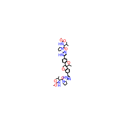 COC(=O)N[C@H](C(=O)N1CCC[C@H]1c1ncc(-c2ccc3c(c2)OC(C)C2=C3COc3cc(-c4cnc([C@@H]5CCCN5C(=O)[C@@H](NC(=O)OC)C(C)C)[nH]4)ccc32)[nH]1)C(C)C